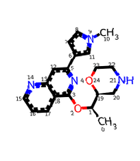 C[C@@H](Oc1nc(-c2ccn(C)c2)cc2ncccc12)[C@@H]1CNCCO1